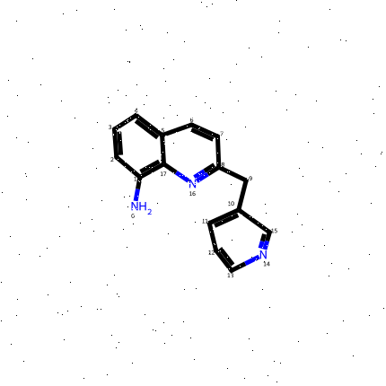 Nc1cccc2ccc(Cc3cccnc3)nc12